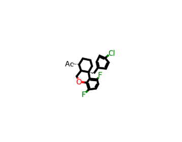 CC(=O)[C@@H]1CCC[C@@]2(Cc3ccc(Cl)cc3)c3c(F)ccc(F)c3OCC12